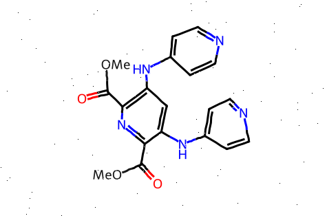 COC(=O)c1nc(C(=O)OC)c(Nc2ccncc2)cc1Nc1ccncc1